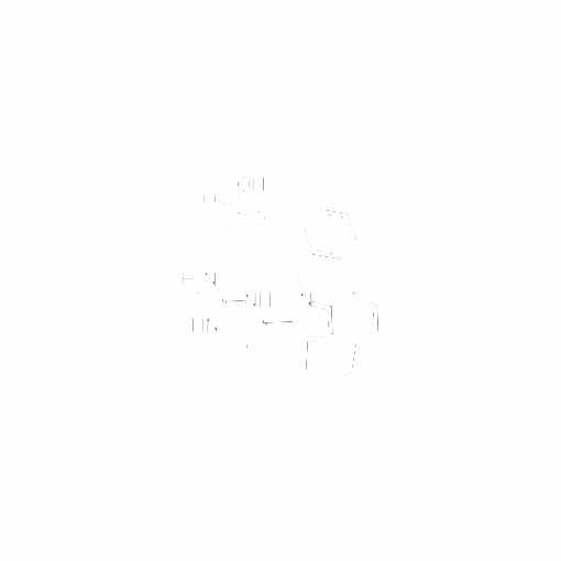 CS(=O)(=O)O.N=C(N)NC(=O)c1c2c3c(cccc3n1Cc1ccccc1)CCC2